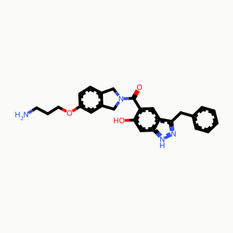 NCCCOc1ccc2c(c1)CN(C(=O)c1cc3c(Cc4ccccc4)n[nH]c3cc1O)C2